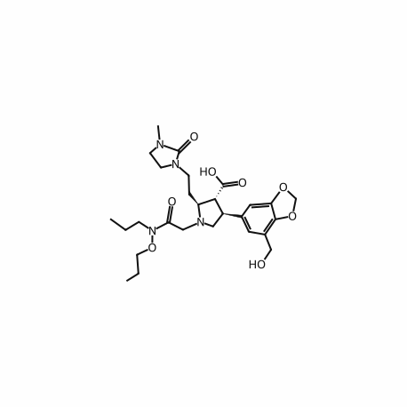 CCCON(CCC)C(=O)CN1C[C@H](c2cc(CO)c3c(c2)OCO3)[C@@H](C(=O)O)[C@@H]1CCN1CCN(C)C1=O